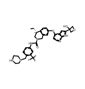 CC[C@H]1CN(C(=O)Nc2ccc(CN3CCNCC3)c(C(F)(F)F)c2)Cc2cc(Oc3ccnc4[nH]c(C5(O)COC5)cc34)ccc21